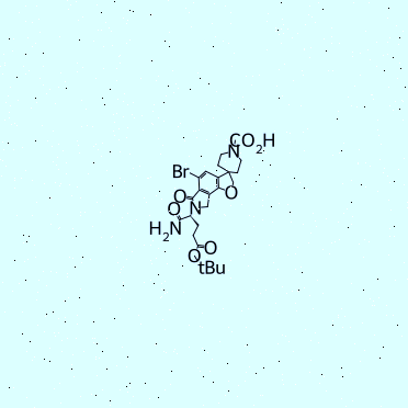 CC(C)(C)OC(=O)CC[C@@H](C(N)=O)N1Cc2c3c(cc(Br)c2C1=O)C1(CCN(C(=O)O)CC1)CO3